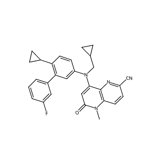 Cn1c(=O)cc(N(CC2CC2)c2ccc(C3CC3)c(-c3cccc(F)c3)c2)c2nc(C#N)ccc21